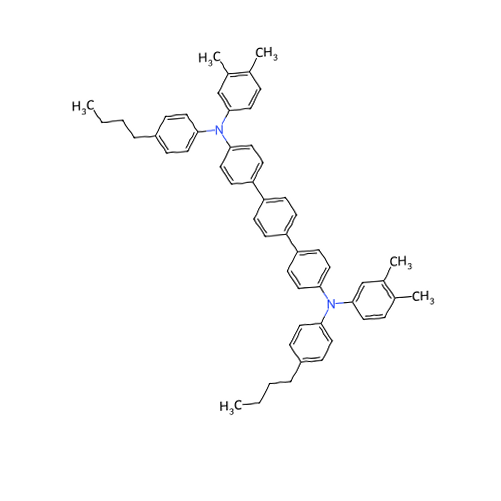 CCCCc1ccc(N(c2ccc(-c3ccc(-c4ccc(N(c5ccc(CCCC)cc5)c5ccc(C)c(C)c5)cc4)cc3)cc2)c2ccc(C)c(C)c2)cc1